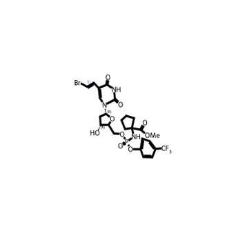 COC(=O)C1(NP(=O)(OCC2O[C@@H](n3cc(/C=C/Br)c(=O)[nH]c3=O)C[C@H]2O)Oc2ccc(C(F)(F)F)cc2)CCCC1